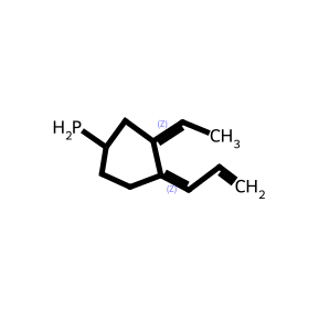 C=C/C=C1/CCC(P)C/C1=C/C